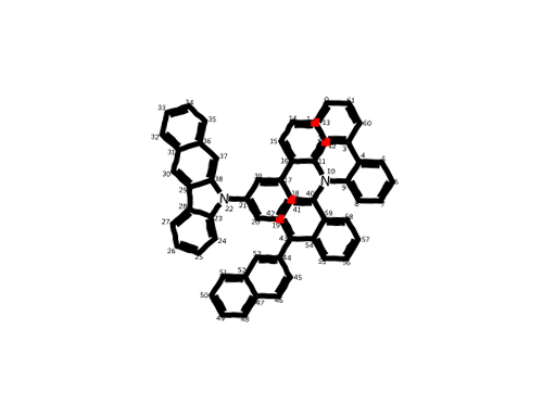 c1ccc(-c2ccccc2N(c2ccccc2-c2cccc(-n3c4ccccc4c4cc5ccccc5cc43)c2)c2ccc(-c3ccc4ccccc4c3)c3ccccc23)cc1